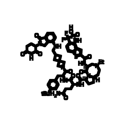 CCN1CC[C@H]2CC[C@@H](C(=O)NC(CCC(N)=O)C(=O)NC(Cc3ccc(C(C)(C)C)cc3)C(=O)N3CC4(CC(CNc5cccc6c5CN(C5CCC(=O)NC5=O)C6=O)C4)C3)N2C(=O)[C@@H](NC(=O)c2cc3cc(C(F)(F)P(=O)(O)O)ccc3s2)C1